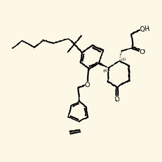 C=C.CCCCCCC(C)(C)c1ccc([C@@H]2CC(=O)CC[C@H]2CC(=O)CO)c(OCc2ccccc2)c1